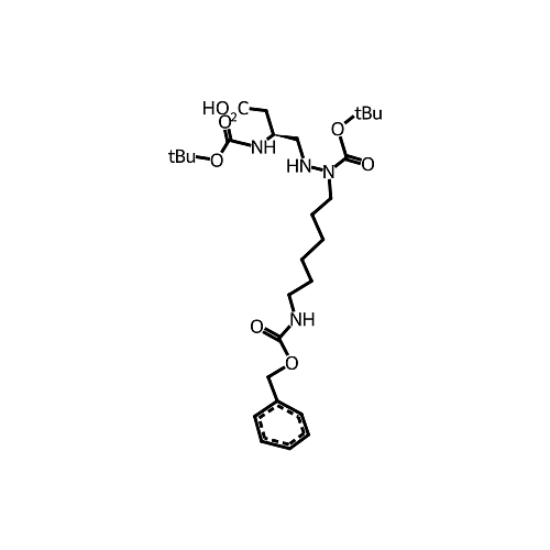 CC(C)(C)OC(=O)N[C@H](CNN(CCCCCCNC(=O)OCc1ccccc1)C(=O)OC(C)(C)C)CC(=O)O